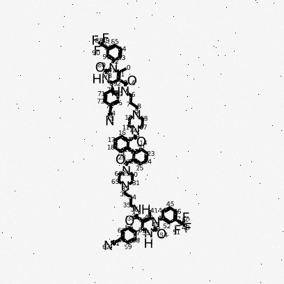 CC1=C(C(=O)NCCCN2CCN(C(=O)c3ccccc3-c3ccccc3C(=O)N3CCN(CCCNC(=O)C4=C(C)N(c5cccc(C(F)(F)F)c5)C(=O)N[C@@H]4c4ccc(C#N)cc4)CC3)CC2)[C@@H](c2ccc(C#N)cc2)NC(=O)N1c1cccc(C(F)(F)F)c1